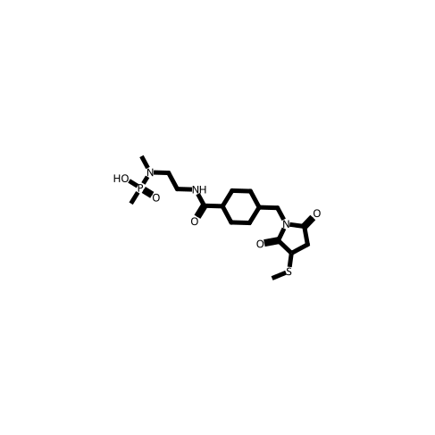 CSC1CC(=O)N(CC2CCC(C(=O)NCCN(C)P(C)(=O)O)CC2)C1=O